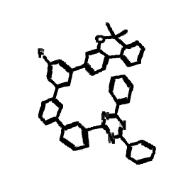 CC1(C)Oc2cc(-c3cc(F)cc(-c4cccc(-c5cccc(-c6nc(-c7ccccc7)nc(-c7ccccc7)n6)c5)c4)c3)ccc2-c2ccccc21